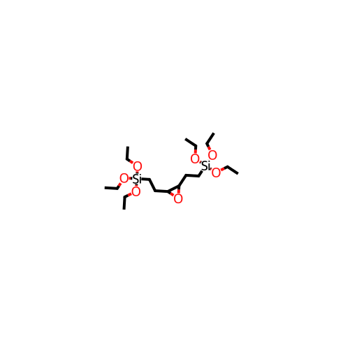 CCO[Si](CCC1OC1CC[Si](OCC)(OCC)OCC)(OCC)OCC